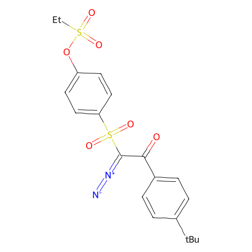 CCS(=O)(=O)Oc1ccc(S(=O)(=O)C(=[N+]=[N-])C(=O)c2ccc(C(C)(C)C)cc2)cc1